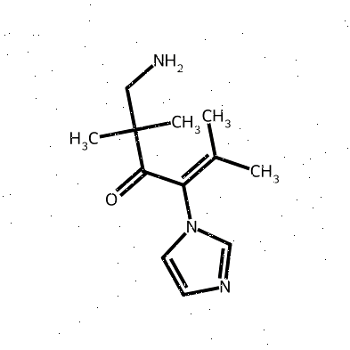 CC(C)=C(C(=O)C(C)(C)CN)n1ccnc1